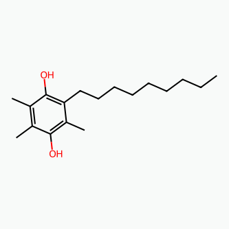 CCCCCCCCCc1c(C)c(O)c(C)c(C)c1O